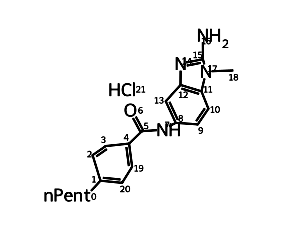 CCCCCc1ccc(C(=O)Nc2ccc3c(c2)nc(N)n3C)cc1.Cl